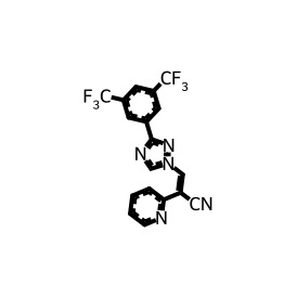 N#CC(=Cn1cnc(-c2cc(C(F)(F)F)cc(C(F)(F)F)c2)n1)c1ccccn1